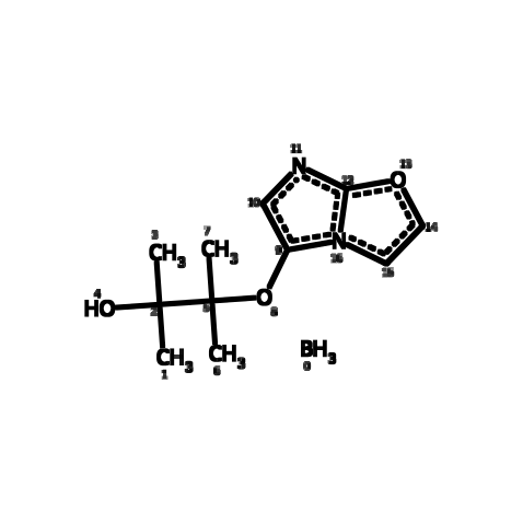 B.CC(C)(O)C(C)(C)Oc1cnc2occn12